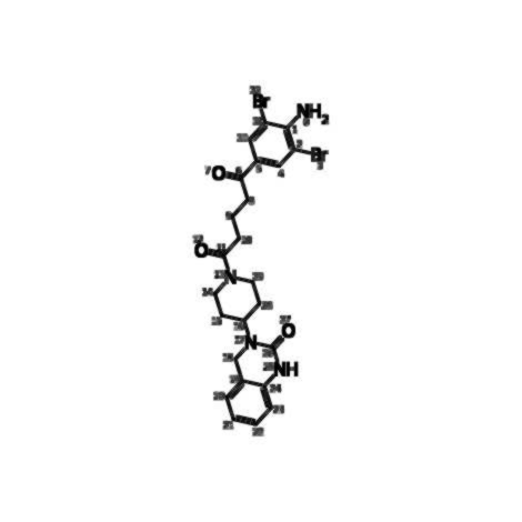 Nc1c(Br)cc(C(=O)CCCC(=O)N2CCC(N3Cc4ccccc4NC3=O)CC2)cc1Br